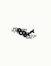 CC(=O)O[C@H]1C[C@@]2(C)[C@@H](C[C@@H](O)[C@H]3[C@@]4(C)CC[C@@H](O)[C@](C)(N)[C@@H]4CC[C@@]32N)/C1=C(\CCC=C(C)C)C(=O)O